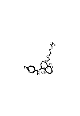 COCCOC[C@@H]1CCC(Nc2ccc(F)cc2)[C@]2(O)CCCO[C@H]12